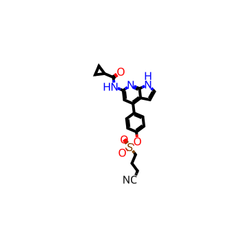 N#CCCCS(=O)(=O)Oc1ccc(-c2cc(NC(=O)C3CC3)nc3[nH]ccc23)cc1